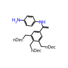 C=C(Nc1ccc(N)cc1)c1cc(CCCCCCCCCCC)c(CCCCCCCCCCC)c(CCCCCCCCCCC)c1